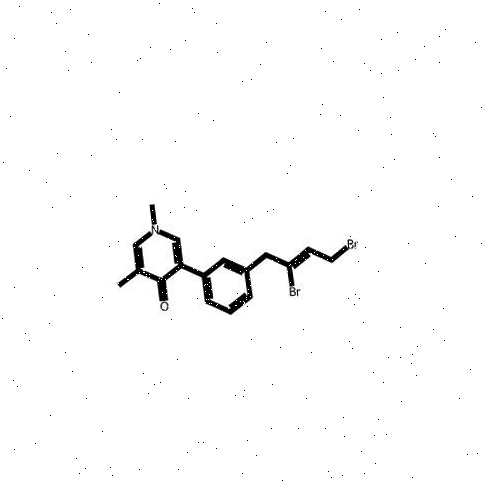 Cc1cn(C)cc(-c2cccc(C/C(Br)=C/CBr)c2)c1=O